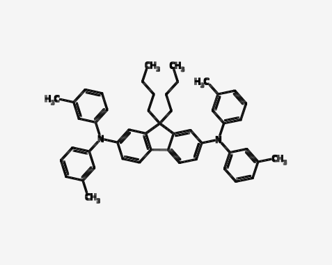 CCCCC1(CCCC)c2cc(N(c3cccc(C)c3)c3cccc(C)c3)ccc2-c2ccc(N(c3cccc(C)c3)c3cccc(C)c3)cc21